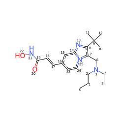 CCCN(CC)Cc1c(C(C)(C)C)nc2cc(C=CC(=O)NO)ccn12